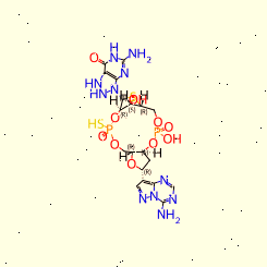 Nc1nc2c(c(=O)[nH]1)NNN2[C@@H]1S[C@@H]2COP(=O)(O)O[C@H]3C[C@H](c4cnn5c(N)ncnc45)O[C@@H]3COP(=O)(S)O[C@@H]1[C@@H]2O